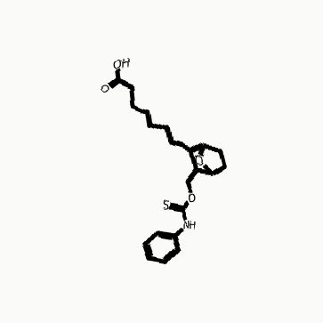 O=C(O)CCCCCCC1C2CCC(O2)C1COC(=S)Nc1ccccc1